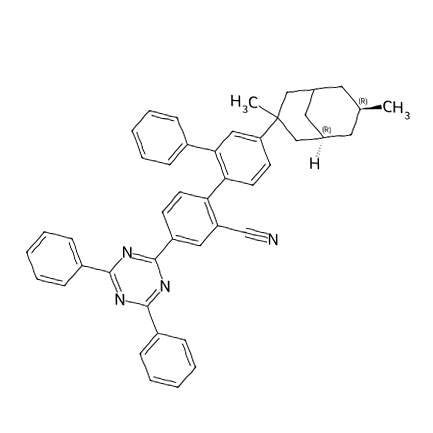 C[C@@H]1CC2C[C@@H](C1)CC(C)(c1ccc(-c3ccc(-c4nc(-c5ccccc5)nc(-c5ccccc5)n4)cc3C#N)c(-c3ccccc3)c1)C2